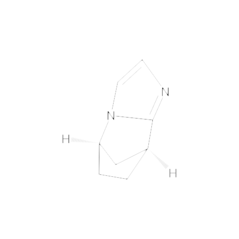 c1cn2c(n1)[C@H]1CC[C@@H]2C1